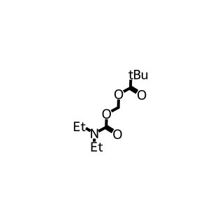 CCN(CC)C(=O)OCOC(=O)C(C)(C)C